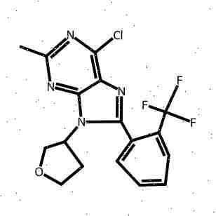 Cc1nc(Cl)c2nc(-c3ccccc3C(F)(F)F)n(C3CCOC3)c2n1